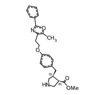 COC(=O)[C@H]1CNC[C@H]1Cc1ccc(OCCc2nc(-c3ccccc3)oc2C)cc1